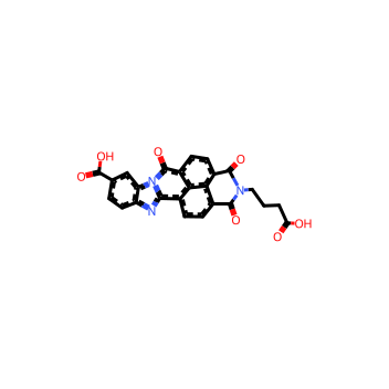 O=C(O)CCCN1C(=O)c2ccc3c(=O)n4c5cc(C(=O)O)ccc5nc4c4ccc(c2c34)C1=O